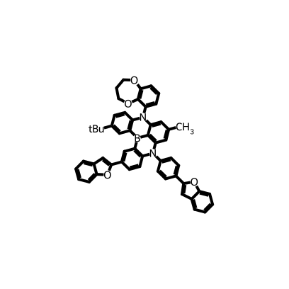 Cc1cc2c3c(c1)N(c1cccc4c1OCCCO4)c1ccc(C(C)(C)C)cc1B3c1cc(-c3cc4ccccc4o3)ccc1N2c1ccc(-c2cc3ccccc3o2)cc1